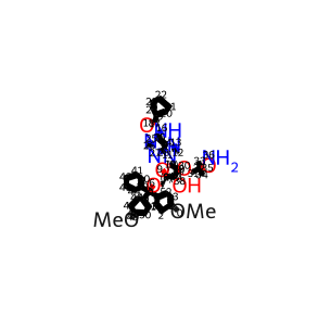 COc1ccc(C(OC[C@H]2O[C@@H](n3cnc4c(NC(=O)c5ccccc5)ncnc43)[C@H](OCC(C)(C)ON)[C@@H]2O)(c2ccccc2)c2ccc(OC)cc2)cc1